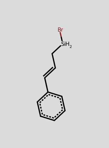 Br[SiH2]CC=Cc1ccccc1